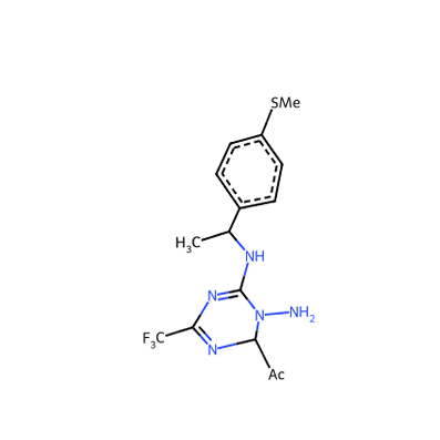 CSc1ccc(C(C)NC2=NC(C(F)(F)F)=NC(C(C)=O)N2N)cc1